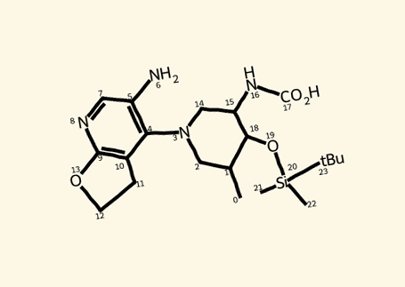 CC1CN(c2c(N)cnc3c2CCO3)CC(NC(=O)O)C1O[Si](C)(C)C(C)(C)C